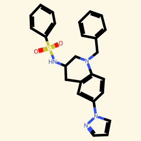 O=S(=O)(NC1Cc2cc(-n3cccn3)ccc2N(Cc2ccccc2)C1)c1ccccc1